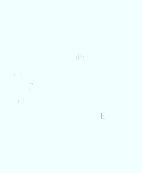 CCc1ccc2c(c1-c1ccccc1C(C)C)C=C(C)[CH]2[Zr]([Cl])[Cl]